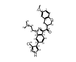 COc1ccc2c(c1)CC(C(=O)c1nn(CCN(C)C)c3cc(-c4c[nH]nc4Cl)ccc13)CO2